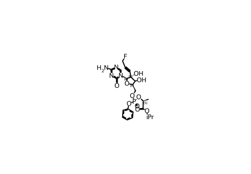 CC(C)OC(=O)[C@H](C)OP(=O)(OC[C@H]1O[C@@H](n2cnc(N)nc2=O)[C@@](O)(C#CCF)C1O)Oc1ccccc1